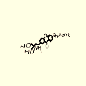 CCCCCOc1ccc2c(=O)c3cc(CCC(N)(CO)CO)ccc3oc2c1